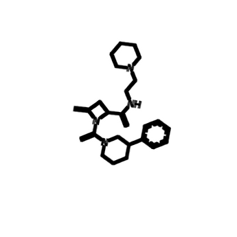 C=C(NCCN1CCCCC1)C1CC(=C)N1C(=C)N1CCCC(c2ccccc2)C1